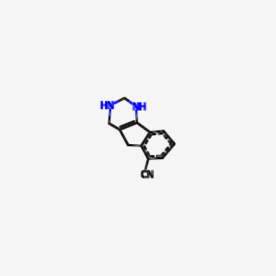 N#Cc1cccc2c1CC1=C2NCNC1